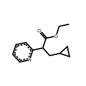 CCOC(=O)C(CC1CC1)c1ccccn1